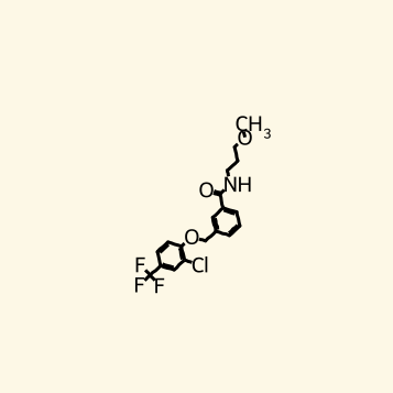 COCCCNC(=O)c1cccc(COc2ccc(C(F)(F)F)cc2Cl)c1